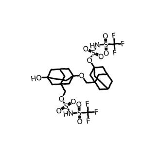 O=S(=O)(NS(=O)(=O)C(F)(F)F)OCC12CC3CC(O)(C1)CC(OCC14CC5CC(C1)CC(OS(=O)(=O)NS(=O)(=O)C(F)(F)F)(C5)C4)(C3)C2